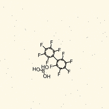 Fc1c(F)c(F)c(-c2c(F)c(F)c(F)c(F)c2F)c(F)c1F.OB(O)O